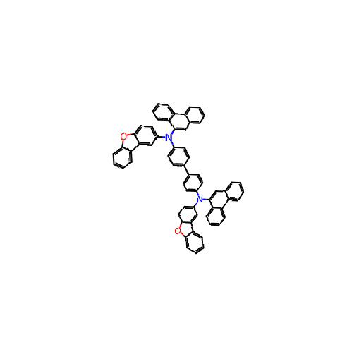 C1=C2c3ccccc3OC2CC=C1N(c1ccc(-c2ccc(N(c3ccc4oc5ccccc5c4c3)c3cc4ccccc4c4ccccc34)cc2)cc1)c1cc2ccccc2c2ccccc12